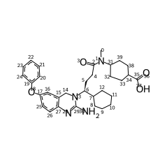 CN(C(=O)CC[C@@H](C1CCCCC1)N1Cc2cc(Oc3ccccc3)ccc2N=C1N)C1CCC(C(=O)O)CC1